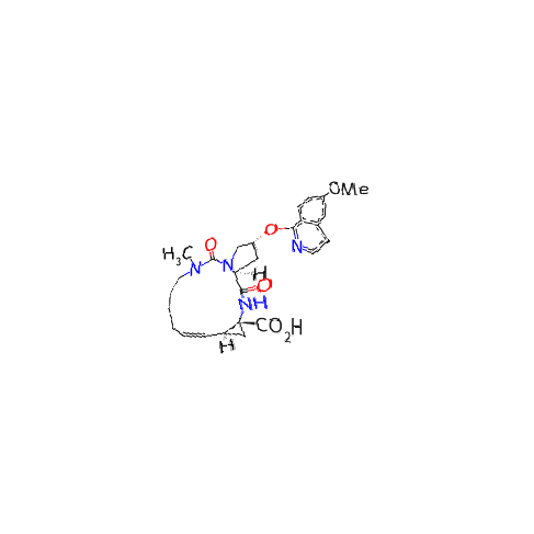 COc1ccc2c(O[C@@H]3C[C@H]4C(=O)N[C@]5(C(=O)O)C[C@H]5/C=C\CCCCN(C)C(=O)N4C3)nccc2c1